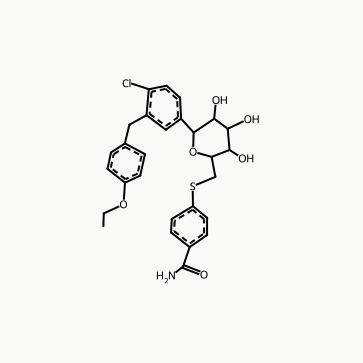 CCOc1ccc(Cc2cc(C3OC(CSc4ccc(C(N)=O)cc4)C(O)C(O)C3O)ccc2Cl)cc1